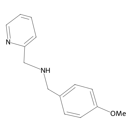 COc1ccc(CNCc2ccccn2)cc1